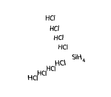 Cl.Cl.Cl.Cl.Cl.Cl.Cl.Cl.[SiH4]